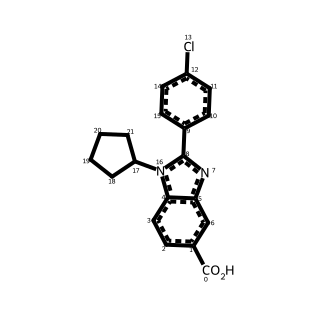 O=C(O)c1ccc2c(c1)nc(-c1ccc(Cl)cc1)n2C1CCCC1